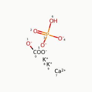 O=C([O-])[O-].O=P([O-])([O-])O.[Ca+2].[K+].[K+]